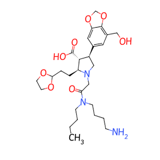 CCCCN(CCCCN)C(=O)CN1C[C@H](c2cc(CO)c3c(c2)OCO3)[C@@H](C(=O)O)[C@@H]1CCC1OCCO1